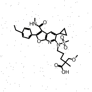 CCc1ccc(-c2oc3nc(N(CCCC(C)(COC)C(=O)O)S(C)(=O)=O)c(C4CC4)cc3c2C(=O)NC)cc1